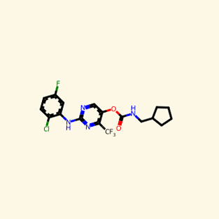 O=C(NCC1CCCC1)Oc1cnc(Nc2cc(F)ccc2Cl)nc1C(F)(F)F